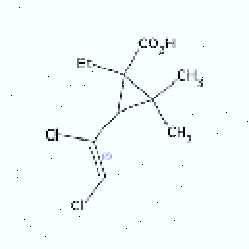 CCC1(C(=O)O)C(/C(Cl)=C/Cl)C1(C)C